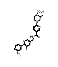 CC1CN(c2ccc(C(=O)NCc3cnc(-c4ccnc(C(F)(F)F)c4)c(F)c3)cn2)CCN1C(=O)O